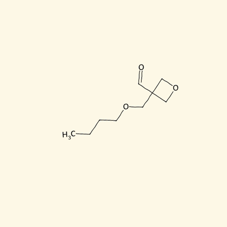 CCCCOCC1(C=O)COC1